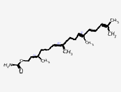 CC(C)=CCC/C(C)=C/CC/C(C)=C/CC/C(C)=C/COC(N)=O